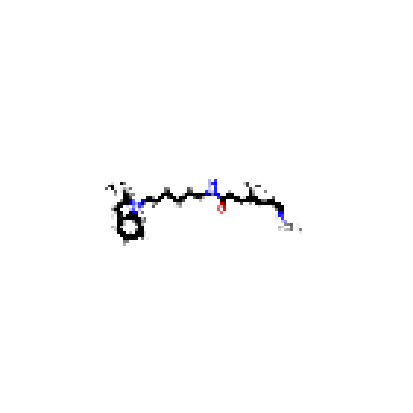 C=N/C=C\C=C(/C)CCC(=O)NCCCCCCn1c(C)cc2ccccc21